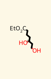 CCOC(=O)CCC[C@H](O)CCO